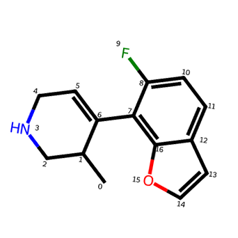 CC1CNCC=C1c1c(F)ccc2ccoc12